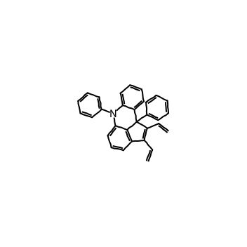 C=CC1=C(C=C)C2(c3ccccc3)c3ccccc3N(c3ccccc3)c3cccc1c32